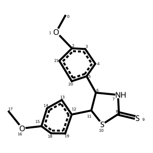 COc1ccc(C2NC(=S)SC2c2ccc(OC)cc2)cc1